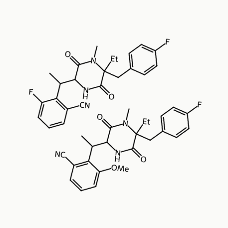 CCC1(Cc2ccc(F)cc2)C(=O)NC(C(C)c2c(C#N)cccc2OC)C(=O)N1C.CCC1(Cc2ccc(F)cc2)C(=O)NC(C(C)c2c(F)cccc2C#N)C(=O)N1C